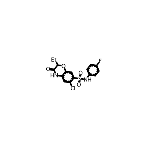 CCC1Oc2cc(S(=O)(=O)Nc3ccc(F)cc3)c(Cl)cc2NC1=O